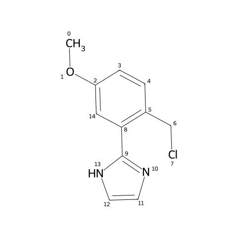 COc1ccc(CCl)c(-c2ncc[nH]2)c1